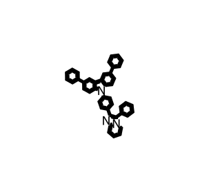 c1ccc(-c2ccc3c(c2)c2cc(-c4ccccc4)ccc2n3-c2ccc(-c3nc4ccccn4c3-c3ccccc3)cc2)cc1